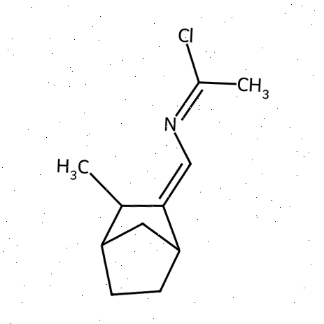 C/C(Cl)=N\C=C1\C2CCC(C2)C1C